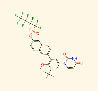 COc1c(-c2ccc3cc(OS(=O)(=O)C(F)(F)C(F)(F)C(F)(F)C(F)(F)F)ccc3c2)cc(-n2ccc(=O)[nH]c2=O)cc1C(C)(C)C